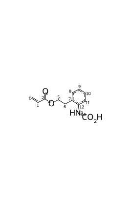 C=CC(=O)OCCc1ccccc1NC(=O)O